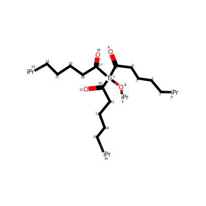 CC(C)CCCC[C](=O)[Ti]([O]C(C)C)([C](=O)CCCCC(C)C)[C](=O)CCCCC(C)C